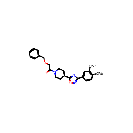 COc1ccc(-c2noc(C3CCN(C(=O)COCc4ccccc4)CC3)n2)cc1OC